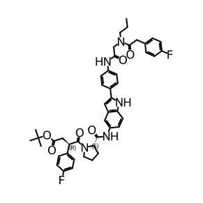 CCCN(CC(=O)Nc1ccc(-c2cc3cc(NC(=O)[C@@H]4CCCN4C(=O)[C@H](CC(=O)OC(C)(C)C)c4ccc(F)cc4)ccc3[nH]2)cc1)C(=O)Cc1ccc(F)cc1